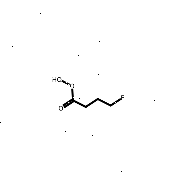 O=C(CCCF)OO